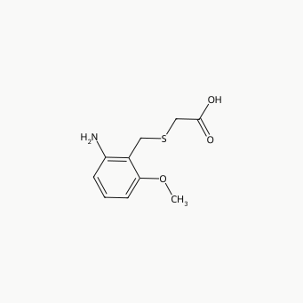 COc1cccc(N)c1CSCC(=O)O